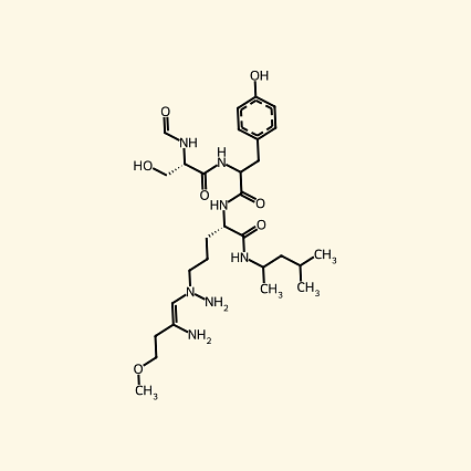 COCC/C(N)=C/N(N)CCC[C@H](NC(=O)C(Cc1ccc(O)cc1)NC(=O)[C@H](CO)NC=O)C(=O)NC(C)CC(C)C